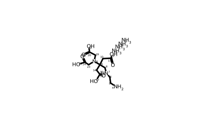 N.N.N.N.NCCNCC(CC(=O)O)(CC(=O)O)N(CC(=O)O)CC(=O)O